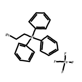 CC(C)CC[P+](c1ccccc1)(c1ccccc1)c1ccccc1.[F][Fe-]([F])([F])[F]